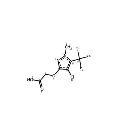 Cn1nc(OCC(=O)O)c(Cl)c1C(F)(F)F